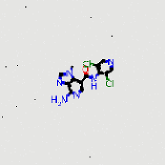 Cn1cnc2c(N)ncc(C(=O)Nc3c(Cl)cncc3Cl)c21